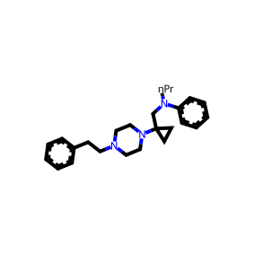 CCCN(CC1(N2CCN(CCc3ccccc3)CC2)CC1)c1ccccc1